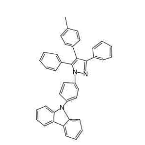 Cc1ccc(-c2c(-c3ccccc3)nn(-c3ccc(-n4c5ccccc5c5ccccc54)cc3)c2-c2ccccc2)cc1